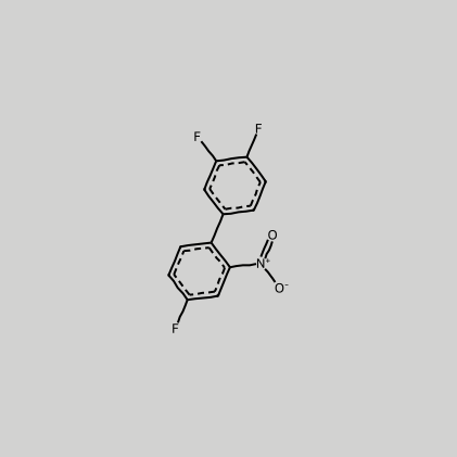 O=[N+]([O-])c1cc(F)ccc1-c1ccc(F)c(F)c1